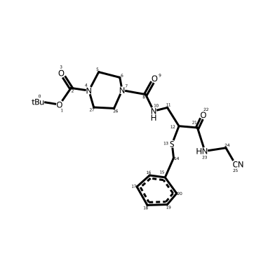 CC(C)(C)OC(=O)N1CCN(C(=O)NCC(SCc2ccccc2)C(=O)NCC#N)CC1